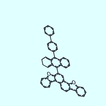 C1=c2c(-c3ccc(-c4ccccc4)cc3)c3ccccc3c(-c3cc4c(ccc5c6ccccc6oc54)c4c3oc3ccccc34)c2=CCC1